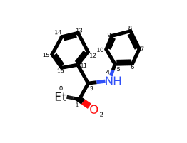 CCC(=O)C(Nc1ccccc1)c1ccccc1